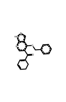 O=C(C1=CC=CCC1)c1cnc2[nH]ncc2c1OCc1ccccc1